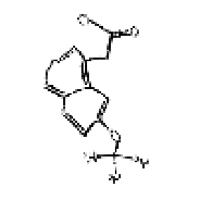 [2H]C([2H])([2H])Oc1ccc2cccc(CC(=O)Cl)c2c1